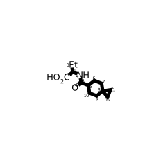 CCC(NC(=O)C1CCC2(CC1)CC2)C(=O)O